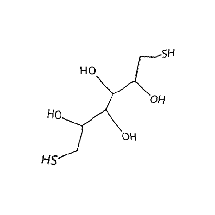 OC(CS)C(O)C(O)C(O)CS